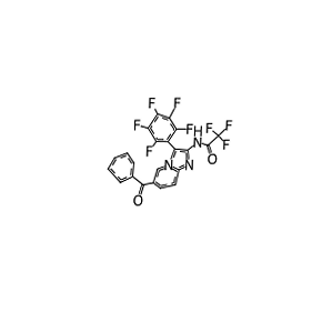 O=C(c1ccccc1)c1ccc2nc(NC(=O)C(F)(F)F)c(-c3c(F)c(F)c(F)c(F)c3F)n2c1